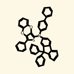 c1ccc(-c2ccc(N(c3ccc4c(c3)C(c3ccccc3)(c3ccccc3)c3ccccc3-4)c3sc(-c4ccccc4)c4c3Oc3ccccc3O4)cc2)cc1